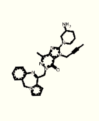 CC#CCn1c(N2CCCC(N)C2)nc2c(C)nn(CC3=Nc4ccccc4Cn4cccc43)c(=O)c21